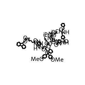 COc1ccc(C(OCC2OC(n3cnc4c(NC(=O)CCCN(C)C(=O)OCC5c6ccccc6-c6ccccc65)ncnc43)CC2OP(OCCC#N)OCC2OC(n3ccc(NC(=O)c4ccc(CNC(=O)Cc5ccccc5)cc4)nc3=O)CC2OP(OCCC#N)N(C(C)C)C(C)C)(c2ccccc2)c2ccc(OC)cc2)cc1